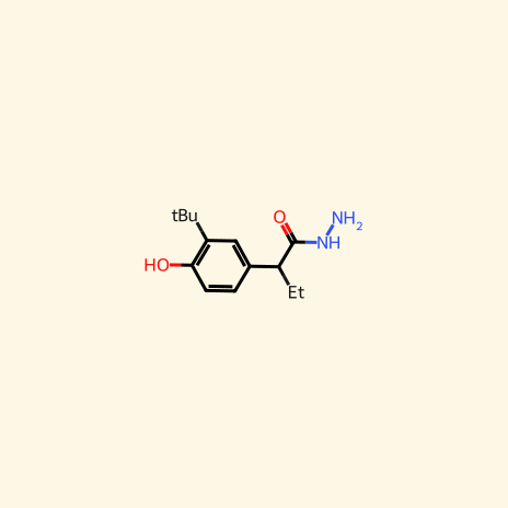 CCC(C(=O)NN)c1ccc(O)c(C(C)(C)C)c1